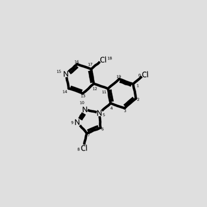 Clc1ccc(-n2cc(Cl)nn2)c(-c2ccncc2Cl)c1